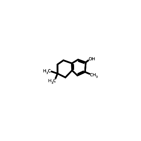 Cc1cc2c(cc1O)CCC(C)(C)C2